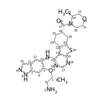 C[C@H](CN)Oc1cc2[nH]ncc2cc1Nc1ncnc2sc3c(c12)CC[C@H](C(=O)N1CCOC[C@@H]1C)C3